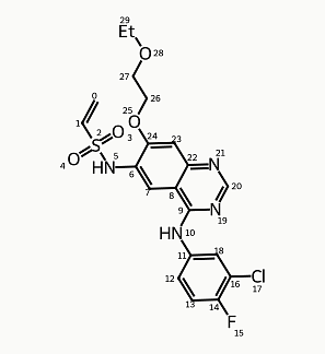 C=CS(=O)(=O)Nc1cc2c(Nc3ccc(F)c(Cl)c3)ncnc2cc1OCCOCC